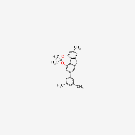 Cc1cc(C)cc(-c2cc3c4c(c2)OC(C)(C)Oc2cc(C)cc(c2-4)C3)c1